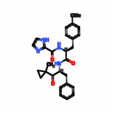 COc1ccc(C[C@H](NC(=O)c2ncc[nH]2)C(=O)N[C@@H](Cc2ccccc2)C(=O)C2(C)CC2)cc1